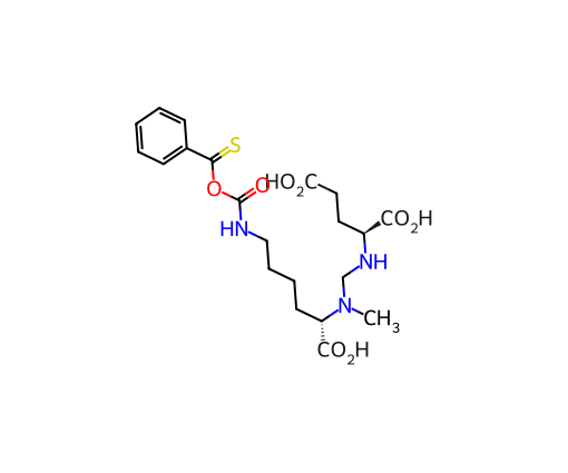 CN(CN[C@@H](CCC(=O)O)C(=O)O)[C@@H](CCCCNC(=O)OC(=S)c1ccccc1)C(=O)O